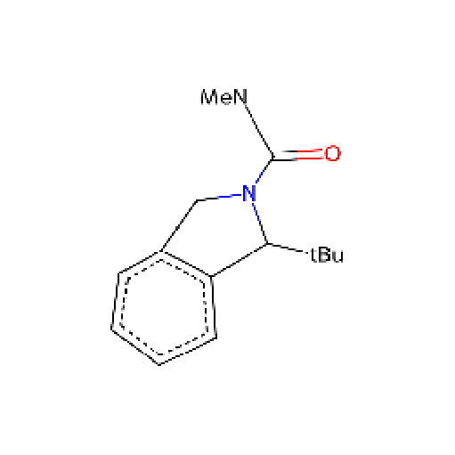 CNC(=O)N1Cc2ccccc2C1C(C)(C)C